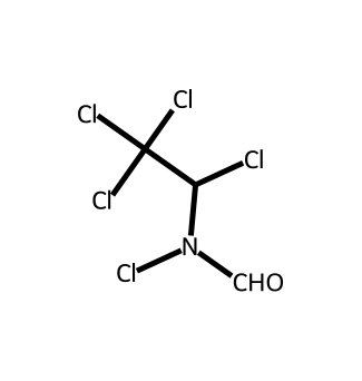 O=CN(Cl)C(Cl)C(Cl)(Cl)Cl